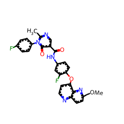 COc1ccc2nccc(Oc3ccc(NC(=O)c4cnc(C)n(-c5ccc(F)cc5)c4=O)cc3F)c2n1